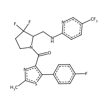 Cc1nc(C(=O)N2CCC(F)(F)C2CNc2ccc(C(F)(F)F)cn2)c(-c2ccc(F)cc2)s1